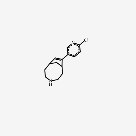 Clc1ccc(C2=CC3CCNCCC2C3)cn1